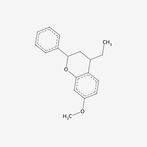 CCC1CC(c2ccccc2)Oc2cc(OC)ccc21